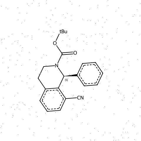 CC(C)(C)OC(=O)N1CCc2cccc(C#N)c2[C@@H]1c1ccccc1